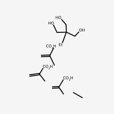 C=C(C)C(=O)O.C=C(C)C(=O)O.C=C(C)C(=O)O.CC.CCC(CO)(CO)CO